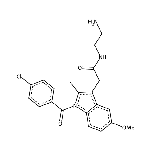 COc1ccc2c(c1)c(CC(=O)NCCN)c(C)n2C(=O)c1ccc(Cl)cc1